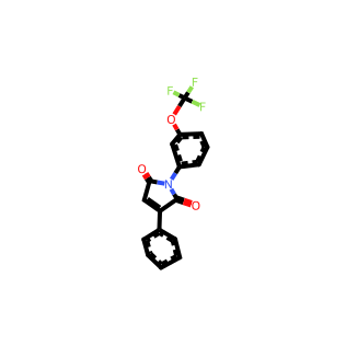 O=C1C=C(c2ccccc2)C(=O)N1c1cccc(OC(F)(F)F)c1